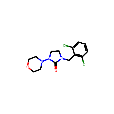 O=C1N(Cc2c(Cl)cccc2Cl)CCN1N1CCOCC1